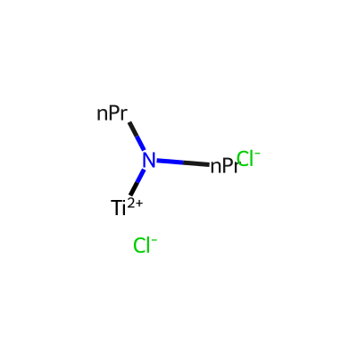 CCC[N]([Ti+2])CCC.[Cl-].[Cl-]